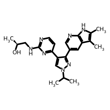 Cc1[nH]c2ncc(-c3nn(C(C)C)cc3-c3ccnc(NC[C@H](C)O)n3)cc2c1C